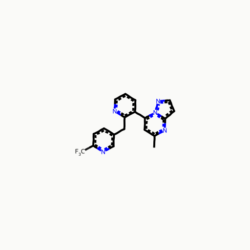 Cc1cc(-c2cccnc2Cc2ccc(C(F)(F)F)nc2)n2nccc2n1